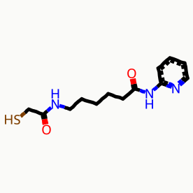 O=C(CS)NCCCCCC(=O)Nc1ccccn1